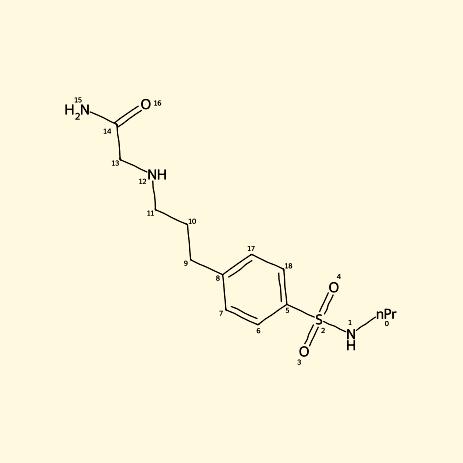 CCCNS(=O)(=O)c1ccc(CCCNCC(N)=O)cc1